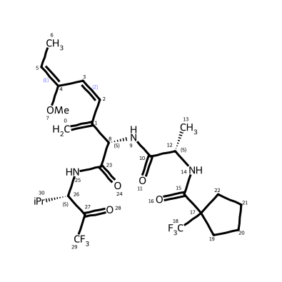 C=C(/C=C\C(=C/C)OC)[C@H](NC(=O)[C@H](C)NC(=O)C1(C(F)(F)F)CCCC1)C(=O)N[C@H](C(=O)C(F)(F)F)C(C)C